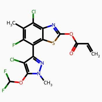 C=CC(=O)Oc1nc2c(Cl)c(C)c(F)c(-c3nn(C)c(OC(F)F)c3Cl)c2s1